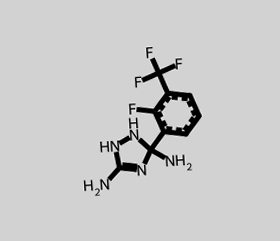 NC1=NC(N)(c2cccc(C(F)(F)F)c2F)NN1